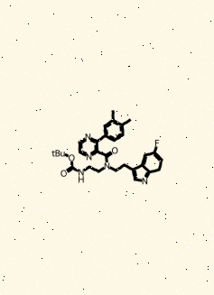 Cc1ccc(-c2nccnc2C(=O)N(CCNC(=O)OC(C)(C)C)CCC2=CN=C3CC=C(F)C=C23)cc1C